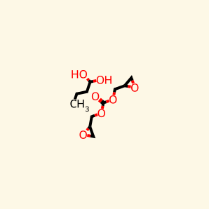 CCCC(O)O.O=C(OCC1CO1)OCC1CO1